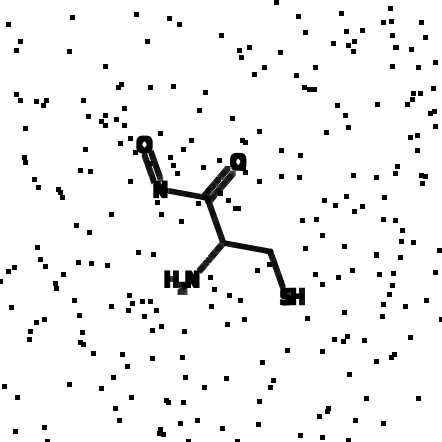 NC(CS)C(=O)N=O